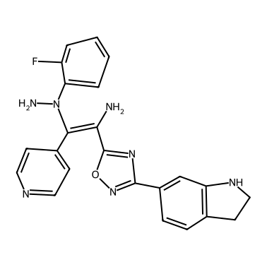 N/C(=C(/c1ccncc1)N(N)c1ccccc1F)c1nc(-c2ccc3c(c2)NCC3)no1